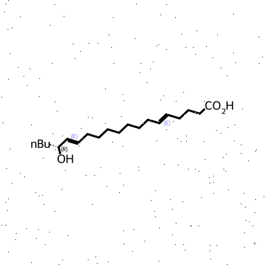 CCCC[C@@H](O)/C=C/CCCCCCC/C=C/CCCC(=O)O